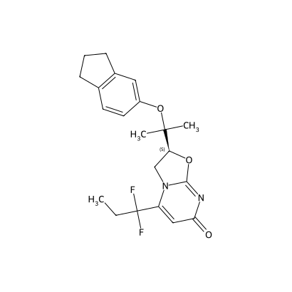 CCC(F)(F)c1cc(=O)nc2n1C[C@@H](C(C)(C)Oc1ccc3c(c1)CCC3)O2